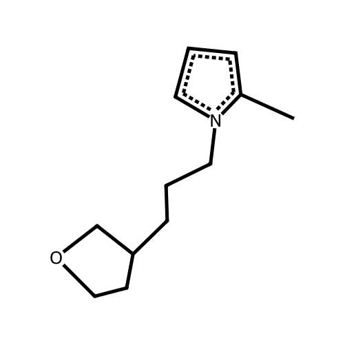 Cc1cccn1CCCC1CCOC1